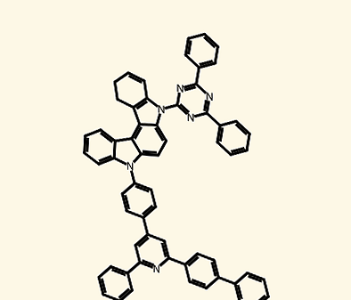 C1=Cc2c(c3c4c5ccccc5n(-c5ccc(-c6cc(-c7ccccc7)nc(-c7ccc(-c8ccccc8)cc7)c6)cc5)c4ccc3n2-c2nc(-c3ccccc3)nc(-c3ccccc3)n2)CC1